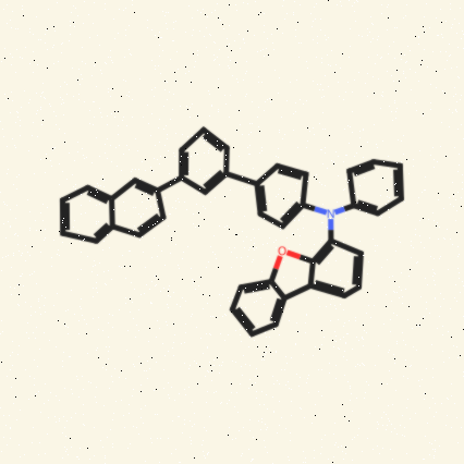 c1ccc(N(c2ccc(-c3cccc(-c4ccc5ccccc5c4)c3)cc2)c2cccc3c2oc2ccccc23)cc1